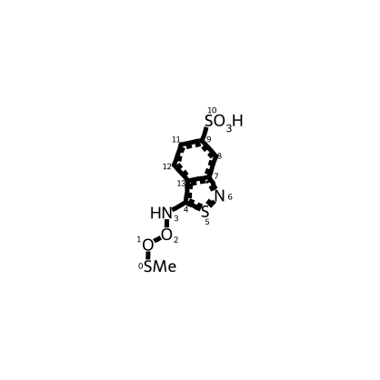 CSOONc1snc2cc(S(=O)(=O)O)ccc12